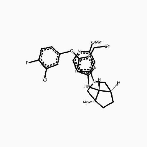 COc1cc(N2C[C@H]3CC[C@@H](C2)[C@@H]3Nc2nc(Oc3ccc(F)c(Cl)c3)n(CC(C)C)n2)ccn1